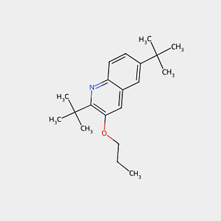 CCCOc1cc2cc(C(C)(C)C)ccc2nc1C(C)(C)C